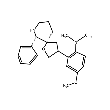 CN(C)c1ccc(OC(F)(F)F)cc1C1CO[C@]2(CCCN[C@H]2c2ccccc2)C1